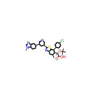 Cc1cc2nc(-c3cncc(-c4ccc5c(c4)ncn5C)c3)sc2c(-c2ccc(Cl)cc2)c1[C@H](OC(C)(C)C)C(=O)O